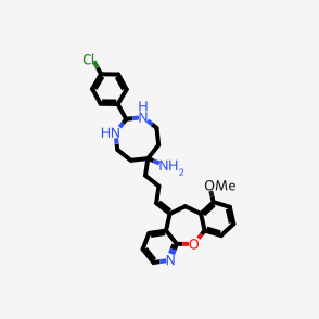 COc1cccc2c1CC(=CCCC1(N)CCNC(c3ccc(Cl)cc3)NCC1)c1cccnc1O2